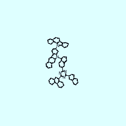 c1ccc2cc(-c3nc(-c4ccc5c(-n6c7cc(-n8c9ccccc9c9ccc%10ccccc%10c98)ccc7c7cc8ccccc8cc76)cccc5c4)nc(-c4cc5ccccc5c5ccccc45)n3)ccc2c1